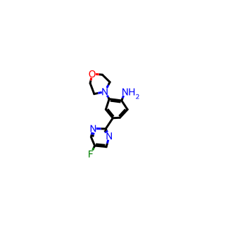 Nc1ccc(-c2ncc(F)cn2)cc1N1CCOCC1